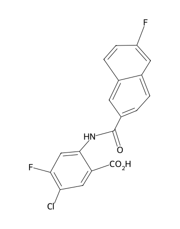 O=C(Nc1cc(F)c(Cl)cc1C(=O)O)c1ccc2cc(F)ccc2c1